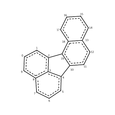 [c]1[c]c2c3c(cccc3c1)-c1ccc3ccccc3c1-2